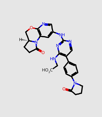 O=C(O)CNc1nc(Nc2cnc3c(c2)N2C(=O)CC[C@H]2CO3)ncc1-c1ccc(N2CCCC2=O)cc1